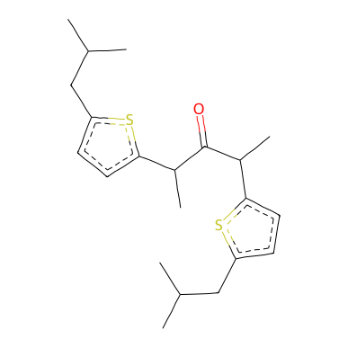 CC(C)Cc1ccc(C(C)C(=O)C(C)c2ccc(CC(C)C)s2)s1